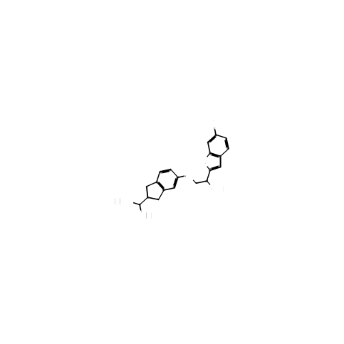 CC(COc1ccc2c(c1)CC(C(C)C)C2)c1cc2ccc(O)cc2s1